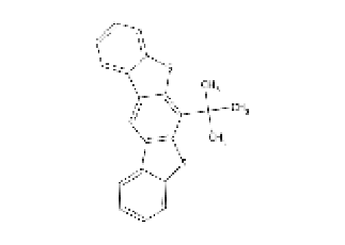 CC(C)(C)c1c2sc3ccccc3c2cc2c1sc1ccccc12